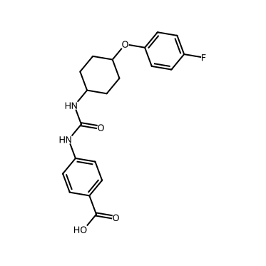 O=C(Nc1ccc(C(=O)O)cc1)NC1CCC(Oc2ccc(F)cc2)CC1